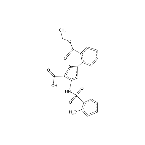 CCOC(=O)c1ccccc1-c1cc(NS(=O)(=O)c2ccccc2C)c(C(=O)O)s1